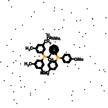 CNC.COc1ccc(P(c2ccc(OC)cc2)[C]23[CH]4[CH]5[CH]6[C@]2(C(C)P(c2cc(C)cc(C)c2)c2cc(C)cc(C)c2)[Fe]54632789[CH]3[CH]2[CH]7[CH]8[CH]39)cc1